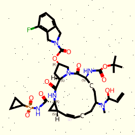 C=CC(O)N(C)C1CC/C=C\[C@@H]2C[C@@]2(C(=O)NS(=O)(=O)C2CC2)NC(=O)[C@@H]2C[C@@H](OC(=O)N3Cc4cccc(F)c4C3)CN2C(=O)[C@@H](NC(=O)OC(C)(C)C)CC1